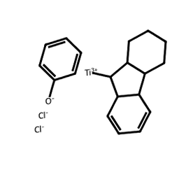 [Cl-].[Cl-].[O-]c1ccccc1.[Ti+3][CH]1C2C=CC=CC2C2CCCCC12